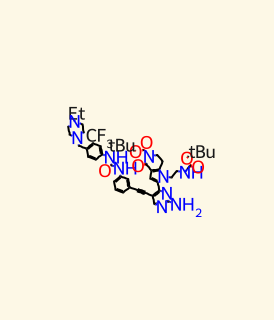 CCN1CCN(Cc2ccc(NC(=O)Nc3cccc(C#Cc4cnc(N)nc4-c4cc5c(n4CCNC(=O)OC(C)(C)C)CCN(C(=O)OC(C)(C)C)C5=O)c3)cc2C(F)(F)F)CC1